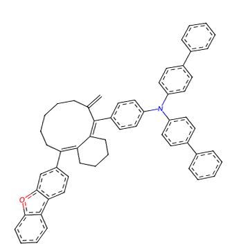 C=C1CCCCC/C(c2ccc3c(c2)oc2ccccc23)=C2/CCCC/C2=C/1c1ccc(N(c2ccc(-c3ccccc3)cc2)c2ccc(-c3ccccc3)cc2)cc1